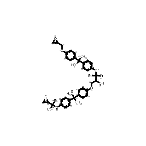 CCC(CC)(Oc1ccc(C(C)(C)c2ccc(OCC3CO3)cc2)cc1)C(O)COc1ccc(C(C)(C)c2ccc(OC(CC)(CC)C3CO3)cc2)cc1